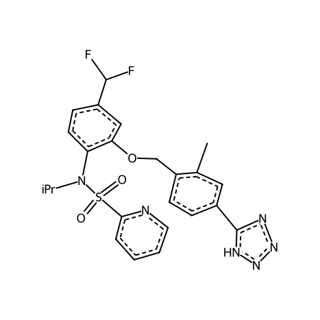 Cc1cc(-c2nnn[nH]2)ccc1COc1cc(C(F)F)ccc1N(C(C)C)S(=O)(=O)c1ccccn1